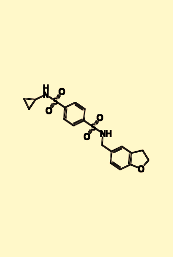 O=S(=O)(NCc1ccc2c(c1)CCO2)c1ccc(S(=O)(=O)NC2CC2)cc1